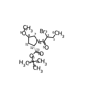 CCC(Br)C(=O)N1CC(OC)C[C@H]1C(=O)OC(C)(C)C